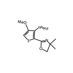 CCCCCc1c(OC)csc1C1=NC(C)(C)CO1